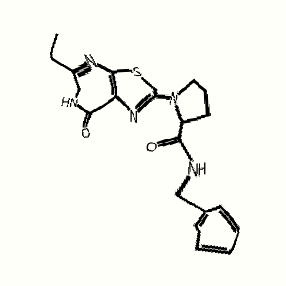 CCc1nc2sc(N3CCCC3C(=O)NCc3ccccc3)nc2c(=O)[nH]1